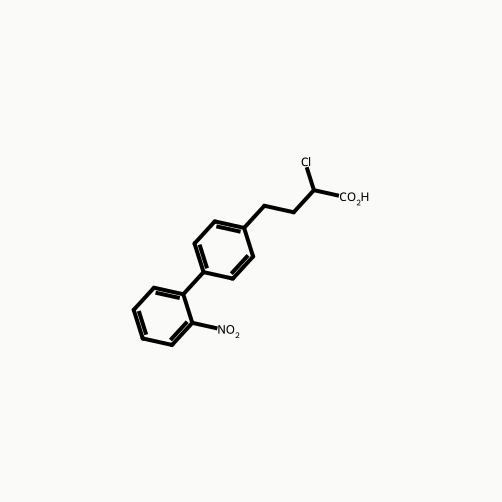 O=C(O)C(Cl)CCc1ccc(-c2ccccc2[N+](=O)[O-])cc1